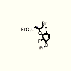 CCOC(=O)/C=C(/CBr)Oc1c(F)ccc(OC(C)C)c1F